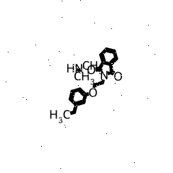 CCc1cccc(OCCN2C(=O)c3ccccc3C2=O)c1.CNC